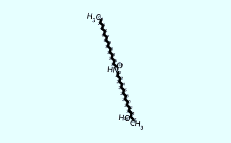 CCCCCCCCCCCCCCCCCC(=O)NCCCCCCCCCCCCCC=CC(O)CC